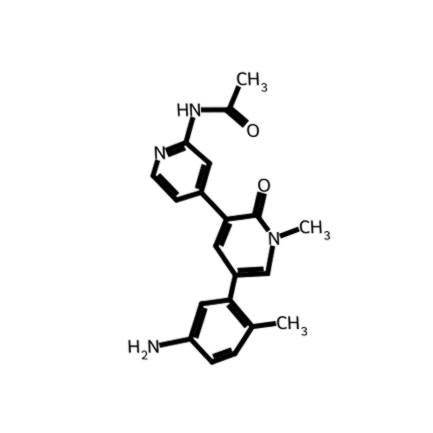 CC(=O)Nc1cc(-c2cc(-c3cc(N)ccc3C)cn(C)c2=O)ccn1